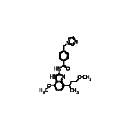 COCCC(C)c1ccc(OC)c2[nH]c(NC(=O)c3ccc(Cn4ccnc4)cc3)nc12